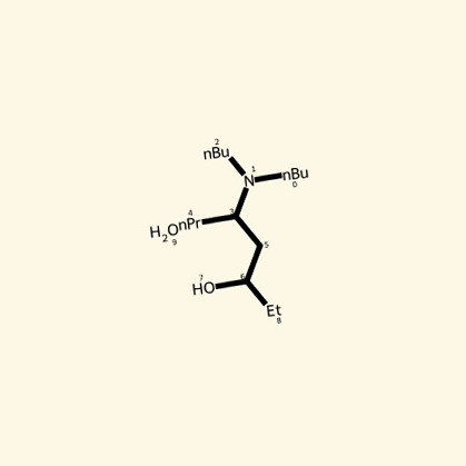 CCCCN(CCCC)C(CCC)CC(O)CC.O